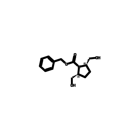 O=C(OCc1ccccc1)N1[C@H](CO)CC[C@@H]1CO